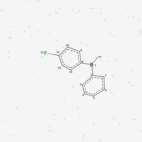 CB(c1ccccc1)c1ccc(F)cc1